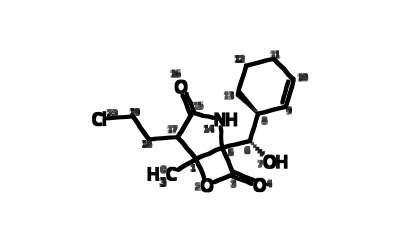 CC12OC(=O)C1([C@@H](O)[C@@H]1C=CCCC1)NC(=O)C2CCCl